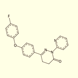 O=C1CCC(c2ccc(Oc3ccc(F)cc3)cc2)=NN1c1ccccn1